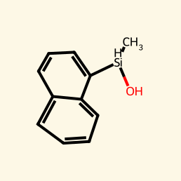 C[SiH](O)c1cccc2ccccc12